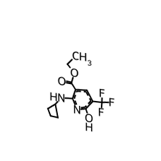 CCOC(=O)c1cc(C(F)(F)F)c(O)nc1NC1CCC1